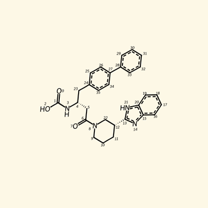 O=C(O)N[C@@H](CC(=O)N1CCC[C@@H](c2nc3ccccc3[nH]2)C1)Cc1ccc(-c2ccccc2)cc1